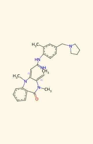 C/C=C1\C(=C/C(=N)Nc2ccc(CN3CCCC3)cc2C)N(C)c2ccccc2C(=O)N1C